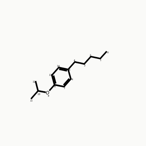 [CH2]CCCCc1ccc(OC(C)C)cc1